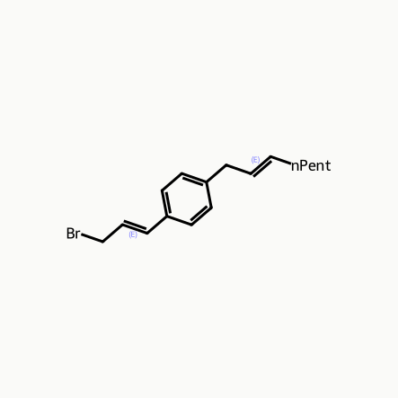 CCCCC/C=C/Cc1ccc(/C=C/CBr)cc1